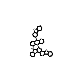 CC1(C)c2ccccc2-c2c1c(-c1c3ccccc3c(-c3ccc4oc5ccccc5c4c3)c3ccccc13)cc1c2ccc2c3ccccc3sc12